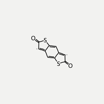 O=C1[C]=c2cc3c(cc2S1)=[C]C(=O)S3